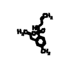 C=CCNS(=O)(=O)c1ccc(C)cc1CC=C